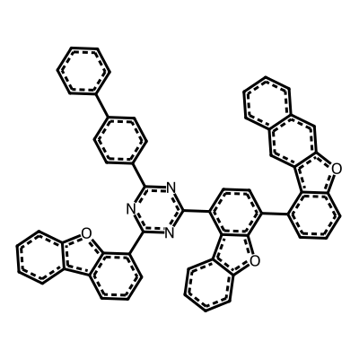 c1ccc(-c2ccc(-c3nc(-c4cccc5c4oc4ccccc45)nc(-c4ccc(-c5cccc6oc7cc8ccccc8cc7c56)c5oc6ccccc6c45)n3)cc2)cc1